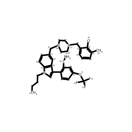 CCCCn1cc(-c2ccc(OC(F)(F)F)cc2CN)c2cc(CN3CCN(Cc4cccc(C)c4Cl)CC3)ccc21